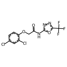 O=C(COc1ccc(Cl)cc1Cl)Nc1nnc(C(F)(F)F)o1